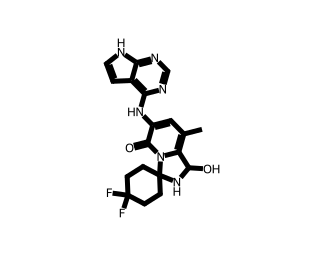 Cc1cc(Nc2ncnc3[nH]ccc23)c(=O)n2c1C(O)NC21CCC(F)(F)CC1